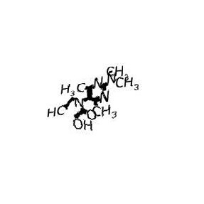 C#CCN(C(=O)CO)c1c(C)nc(N(C)C)nc1C